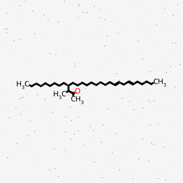 CCCCCC=CCC=CCCCCCCCCCC(CCCCCCCCC)C(C)C(C)=O